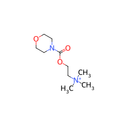 C[N+](C)(C)CCOC(=O)N1CCOCC1